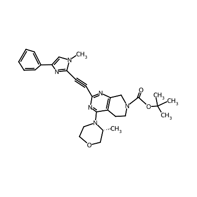 C[C@@H]1COCCN1c1nc(C#Cc2nc(-c3ccccc3)cn2C)nc2c1CCN(C(=O)OC(C)(C)C)C2